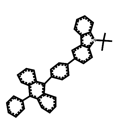 CC(C)(C)n1c2ccccc2c2cc(-c3ccc(-c4c5ccccc5c(-c5ccccc5)c5ccccc45)cc3)ccc21